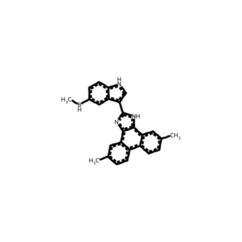 CBc1ccc2[nH]cc(-c3nc4c5cc(C)ccc5c5ccc(C)cc5c4[nH]3)c2c1